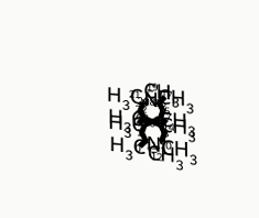 CC1CC(C)C2(C(C)CC(C)N1C)C(C)CC(C)N(C)C(C)CC2C